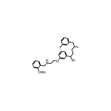 [CH2]C(C)C(CCC(C)Cc1cccc(I)c1)c1cccc(OCCNCc2ccccc2OC)c1